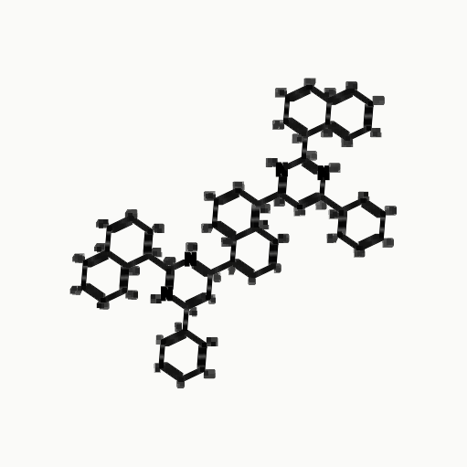 c1ccc(-c2cc(-c3cccc4c(-c5cc(-c6ccccc6)nc(-c6cccc7ccccc67)n5)cccc34)nc(-c3cccc4ccccc34)n2)cc1